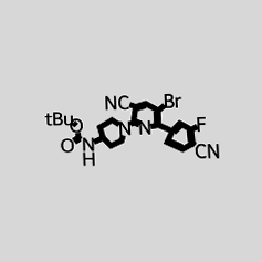 CC(C)(C)OC(=O)NC1CCN(c2nc(-c3ccc(C#N)c(F)c3)c(Br)cc2C#N)CC1